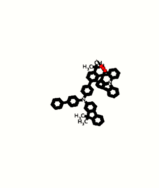 CC1(C)c2ccccc2-c2ccc(N(c3ccc(-c4ccccc4)cc3)c3ccc(-c4ccc5c(c4)C4(c6ccccc6-n6c7ccccc7c7cccc4c76)c4ccccc4C5(C)C)cc3)cc21